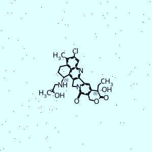 CC[C@@]1(O)C(=O)OCc2c1cc1n(c2=O)Cc2c-1nc1cc(Cl)c(C)c3c1c2[C@@H](NC[C@H](C)O)CC3